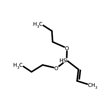 CC=C[SiH](OCCC)OCCC